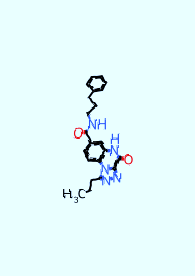 CCCc1nnc2c(=O)[nH]c3cc(C(=O)NCCCc4ccccc4)ccc3n12